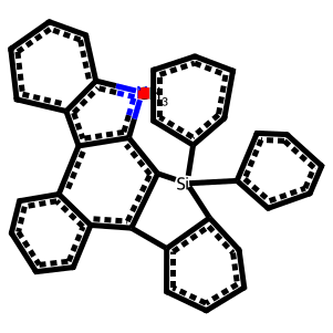 Cn1c2ccccc2c2c3ccccc3c3c(c21)[Si](c1ccccc1)(c1ccccc1)c1ccccc1-3